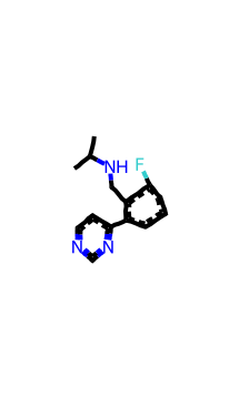 CC(C)NCc1c(F)cccc1-c1ccncn1